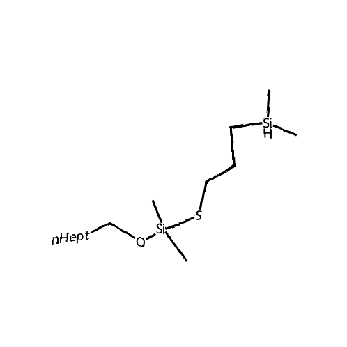 CCCCCCCCO[Si](C)(C)SCCC[SiH](C)C